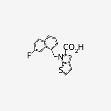 O=C(O)c1cc2ccsc2n1Cc1cccc2ccc(F)cc12